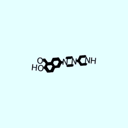 O=Cc1c(O)ccc2cc(N3CCN(C4CCNCC4)CC3)ccc12